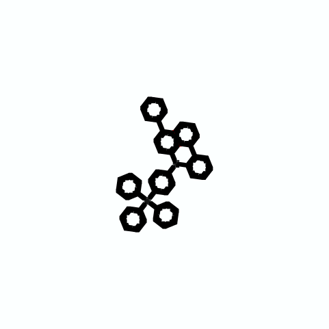 c1ccc(-c2ccc(N(c3ccc([Si](c4ccccc4)(c4ccccc4)c4ccccc4)cc3)c3ccccc3-c3ccccc3)cc2)cc1